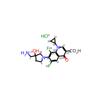 Cl.NCC1(O)CCN(c2c(F)cc3c(=O)c(C(=O)O)cn(C4CC4)c3c2F)C1